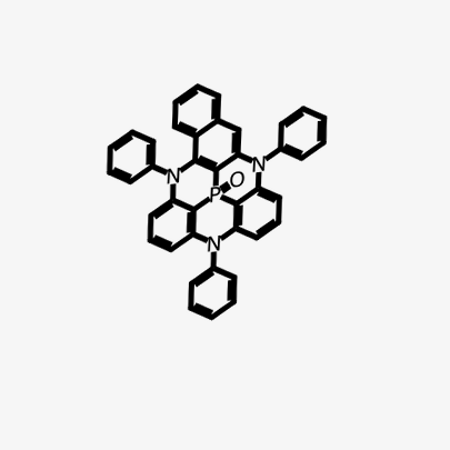 O=P12c3c4cccc3N(c3ccccc3)c3cc5ccccc5c(c31)N(c1ccccc1)c1cccc(c12)N4c1ccccc1